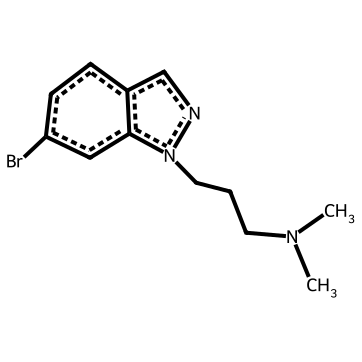 CN(C)CCCn1ncc2ccc(Br)cc21